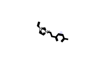 C=Cn1cc[n+](CCC(=C)/C=C\C(=C)C)c1